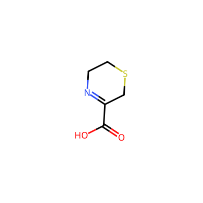 O=C(O)C1=NCCSC1